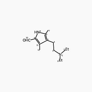 CCN(CC)CCc1c(C)[nH]c(C=O)c1C